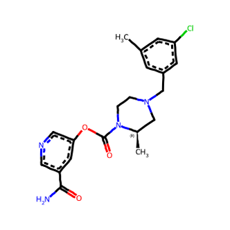 Cc1cc(Cl)cc(CN2CCN(C(=O)Oc3cncc(C(N)=O)c3)[C@H](C)C2)c1